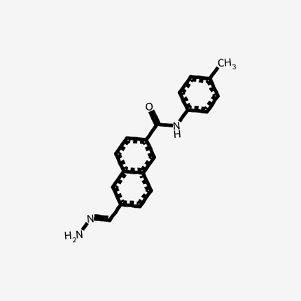 Cc1ccc(NC(=O)c2ccc3cc(C=NN)ccc3c2)cc1